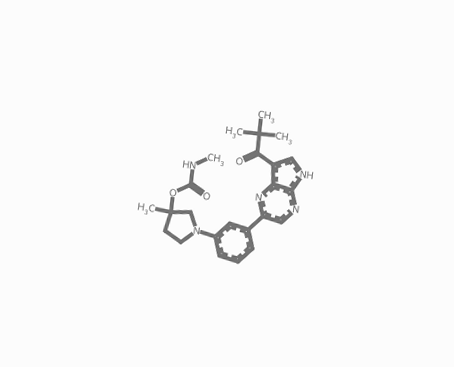 CNC(=O)OC1(C)CCN(c2cccc(-c3cnc4[nH]cc(C(=O)C(C)(C)C)c4n3)c2)C1